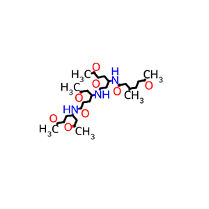 CC(=O)CCC(C)CC(=O)NC(CCC(C)=O)CC(=O)NC(CCC(=O)NC(CCC(C)=O)CC(C)=O)CC(C)=O